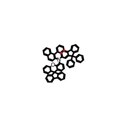 C1=CC2Oc3c(N(c4ccc5c(c4)C(c4ccccc4)(c4ccccc4)c4ccccc4-5)c4ccc5ccccc5c4-c4ccccc4)cccc3C3(c4ccccc4-c4ccccc43)C2C=C1